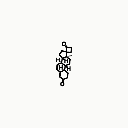 C[C@]12CC[C@H]3[C@@H](C=CC4=CC(=O)CC[C@@H]43)[C@@H]1CC[C@@]21CCC1=O